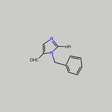 CCCc1ncc(C=O)n1Cc1ccccc1